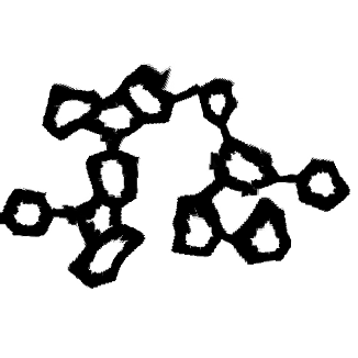 c1ccc(-c2nc(-c3cccc(-c4ccc5c6ccccc6n(-c6ccc7c8ccccc8n(-c8ccccc8)c7c6)c5c4)c3)nc(-c3ccccc3-c3ccccc3)n2)cc1